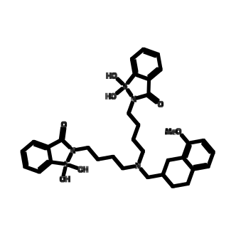 COc1cccc2c1CC(CN(CCCCN1C(=O)c3ccccc3S1(O)O)CCCCN1C(=O)c3ccccc3S1(O)O)CC2